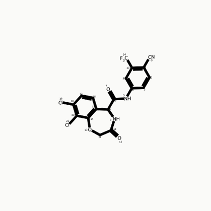 N#Cc1ccc(NC(=O)C2NC(=O)COc3c2ccc(Cl)c3Cl)cc1C(F)(F)F